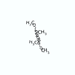 Cc1ccc(C=Cc2cc(C)c(-c3cc4cc5sc(-c6sc(C=Cc7ccc(C)cc7)cc6C)cc5cc4s3)s2)cc1